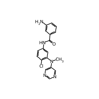 CN(c1cncnc1)c1cc(NC(=O)c2cccc(N)c2)ccc1Cl